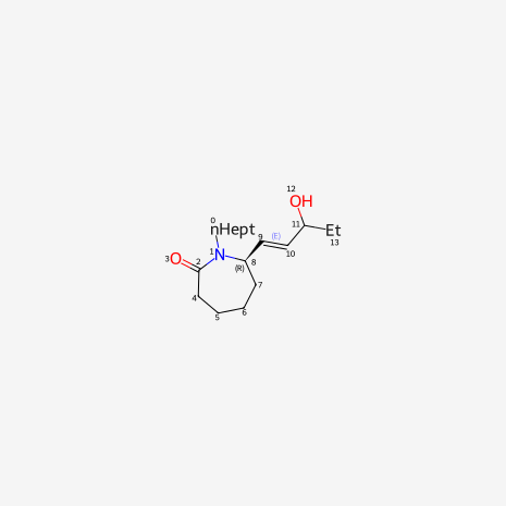 CCCCCCCN1C(=O)CCCC[C@@H]1/C=C/C(O)CC